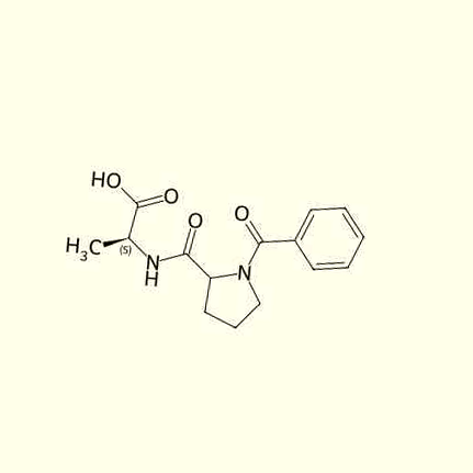 C[C@H](NC(=O)C1CCCN1C(=O)c1ccccc1)C(=O)O